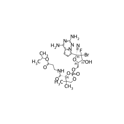 CC(C)OC(=O)CCNC(=O)[C@@H]1OP(=O)(OC[C@H]2O[C@@](C#N)(c3ccc4c(N)nc(N)nn34)C(F)(Br)[C@H]2O)OCC1(C)C